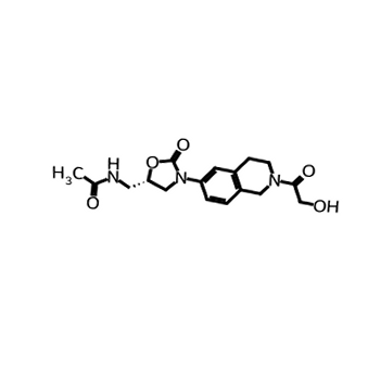 CC(=O)NC[C@H]1CN(c2ccc3c(c2)CCN(C(=O)CO)C3)C(=O)O1